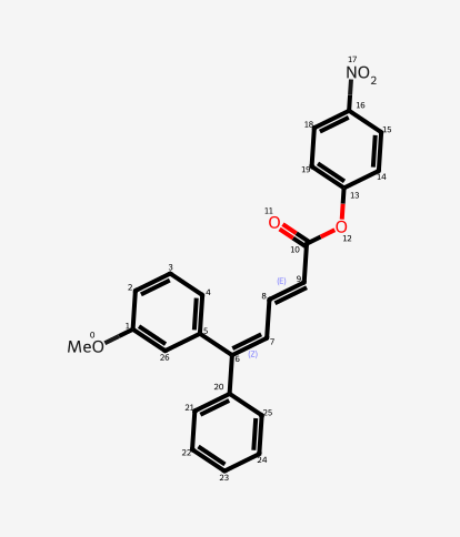 COc1cccc(/C(=C\C=C\C(=O)Oc2ccc([N+](=O)[O-])cc2)c2ccccc2)c1